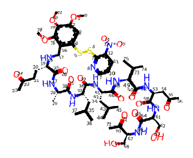 COc1cc(SSc2ncccc2[N+](=O)[O-])c(CN[C@@H](CCC(C)=O)C(=O)N[C@@H](C)C(=O)N[C@@H](CC(C)C)C(=O)N[C@@H](CC(C)C)C(=O)N[C@H](C(=O)N[C@@H](CC(C)=O)C(=O)N[C@@H](CO)C(=O)N[C@@H](CO)C(C)=O)C(C)C)c(OC)c1OC